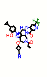 C=CC(=O)N1CC(OC2CC(C#N)C2)c2nn(-c3ccc(C4CC4)cc3O)c3c2C(C1)N(C(=O)c1cnc(C(F)(F)F)cc1N)CC3